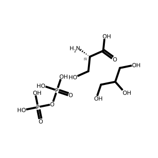 N[C@@H](CO)C(=O)O.O=P(O)(O)OP(=O)(O)O.OCC(O)CO